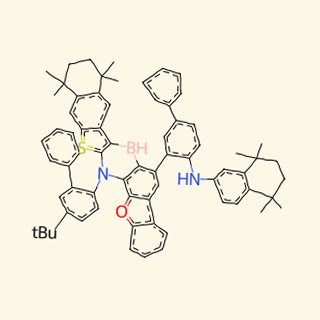 CC(C)(C)c1ccc(N2c3sc4cc5c(cc4c3Bc3c(-c4cc(-c6ccccc6)ccc4Nc4ccc6c(c4)C(C)(C)CCC6(C)C)cc4c(oc6ccccc64)c32)C(C)(C)CCC5(C)C)c(-c2ccccc2)c1